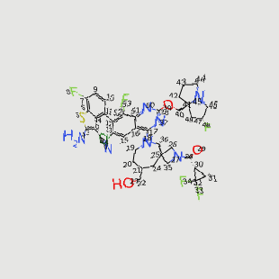 N#Cc1c(N)sc2c(F)ccc(-c3c(Cl)cc4c(N5CCC(CO)CC6(CN(C(=O)[C@@H]7CC7(F)F)C6)C5)nc(OC[C@@]56CCCN5C[C@H](F)C6)nc4c3F)c12